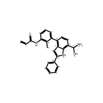 C=CC(=O)Nc1cccc(-c2ccc(C(N)O)c3[nH]c(-c4ccccc4)cc23)c1C